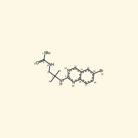 CC(C)(CNC(=O)C(C)(C)C)Nc1ncc2cc(Br)ccc2n1